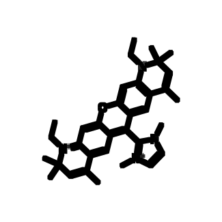 CCN1c2cc3c(cc2C(C)=CC1(C)C)C(c1n(C)cc[n+]1C)=c1cc2c(cc1O3)=[N+](CC)C(C)(C)C=C2C